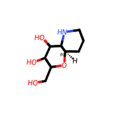 OCC1O[C@@H]2CCCNC2C(O)C1O